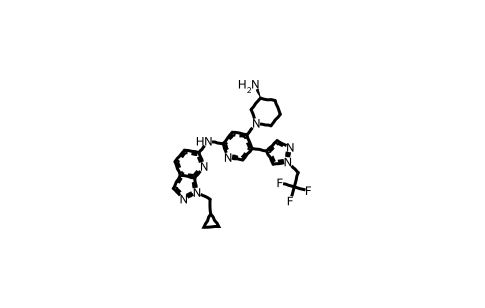 N[C@H]1CCCN(c2cc(Nc3ccc4cnn(CC5CC5)c4n3)ncc2-c2cnn(CC(F)(F)F)c2)C1